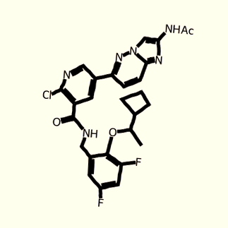 CC(=O)Nc1cn2nc(-c3cnc(Cl)c(C(=O)NCc4cc(F)cc(F)c4OC(C)C4CCC4)c3)ccc2n1